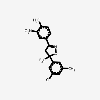 Cc1cc(Cl)cc(C2(C(F)(F)F)CC(c3ccc(C)c([N+](=O)[O-])c3)=NO2)c1